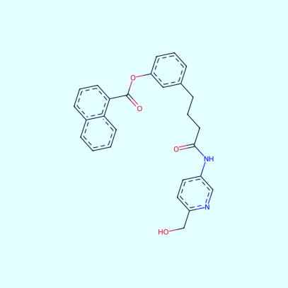 O=C(CCCc1cccc(OC(=O)c2cccc3ccccc23)c1)Nc1ccc(CO)nc1